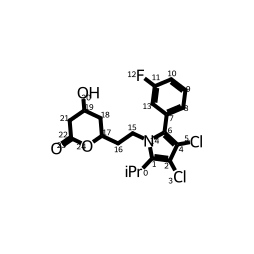 CC(C)c1c(Cl)c(Cl)c(-c2cccc(F)c2)n1CCC1CC(O)CC(=O)O1